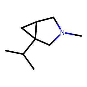 CC(C)C12CC1CN(C)C2